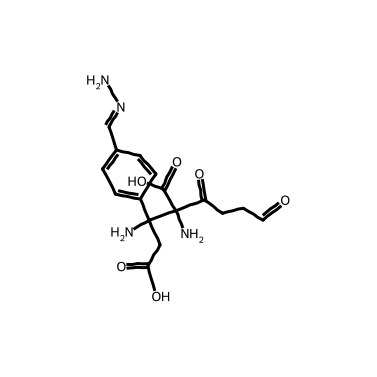 NN=Cc1ccc(C(N)(CC(=O)O)C(N)(C(=O)O)C(=O)CCC=O)cc1